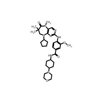 COc1cc(C(=O)NC2CCC(N3CCOCC3)CC2)ccc1Nc1ncc2c(n1)N(C1CCCC1)CC(C)(C)C(=O)N2C